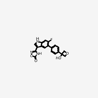 O=c1[nH]c(-c2c[nH]c3cc(F)c(-c4ccc(C5(O)COC5)cc4)cc23)no1